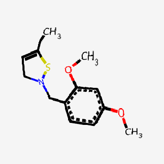 COc1ccc(CN2CC=C(C)S2)c(OC)c1